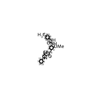 COc1cc(CNC(=O)c2nn(-c3ccccc3)cc2C(F)(F)F)ccc1NC(=O)Nc1cnc(C)cn1